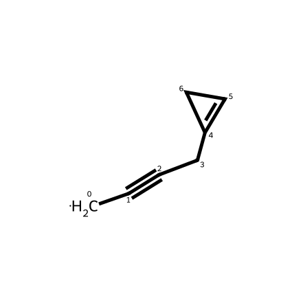 [CH2]C#CCC1=CC1